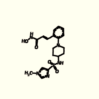 Cn1cnc(S(=O)(=O)NC2CCN(c3ccccc3/C=C/C(=O)NO)CC2)c1